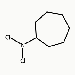 ClN(Cl)[C]1CCCCCC1